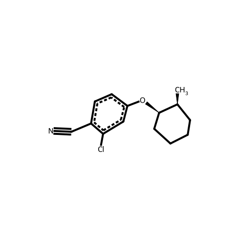 C[C@H]1CCCC[C@H]1Oc1ccc(C#N)c(Cl)c1